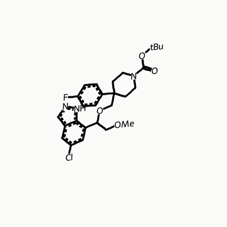 COCC(OCC1(c2ccc(F)cc2)CCN(C(=O)OC(C)(C)C)CC1)c1cc(Cl)cc2cn[nH]c12